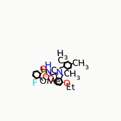 CCOc1cccc2c1CN(Cc1c(C)cc(C)cc1C)C2(C)C(=O)NS(=O)(=O)c1cccc(F)c1OC